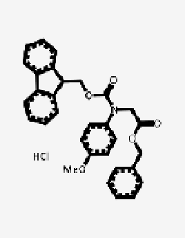 COc1ccc(N(CC(=O)OCc2ccccc2)C(=O)OCC2c3ccccc3-c3ccccc32)cc1.Cl